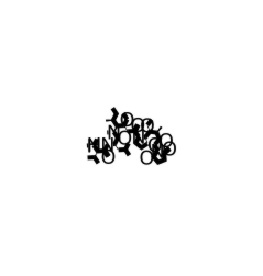 CC[C@H](C)[C@@H]([C@@H](CC(=O)N1CCC[C@H]1[C@H](OC)[C@@H](C)C(=O)ON1C(=O)CCC1=O)OC)N(C)C(=O)[C@H](CC(C)C)NC(=O)[C@H](C(C)C)N(C)C